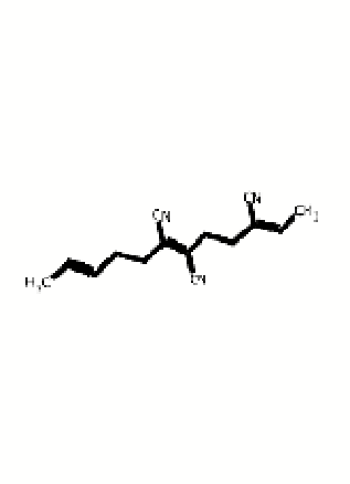 C/C=C(\C#N)CC/C(C#N)=C(\C#N)CC/C=C/C